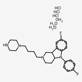 Cl.Cl.Cl.Fc1ccc(N2c3ccc(F)cc3C3CN(CCCCN4CCNCC4)CCC32)cc1.O.O.O